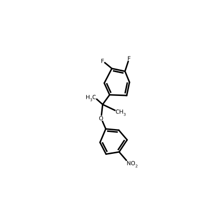 CC(C)(Oc1ccc([N+](=O)[O-])cc1)c1ccc(F)c(F)c1